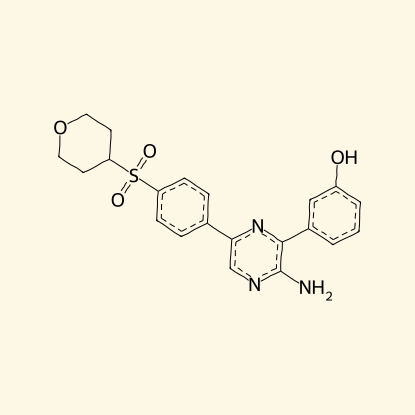 Nc1ncc(-c2ccc(S(=O)(=O)C3CCOCC3)cc2)nc1-c1cccc(O)c1